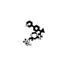 CC1(CO[Si](C)(C)C(C)(C)C)Cc2nnc(C3(c4ccc(-c5cccnc5)cc4)CC3)n2CCS1